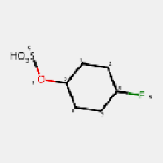 O=S(=O)(O)OC1CCC(F)CC1